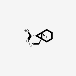 NC[C@]12CCCC[C@H]1[C@H]2C(=O)O